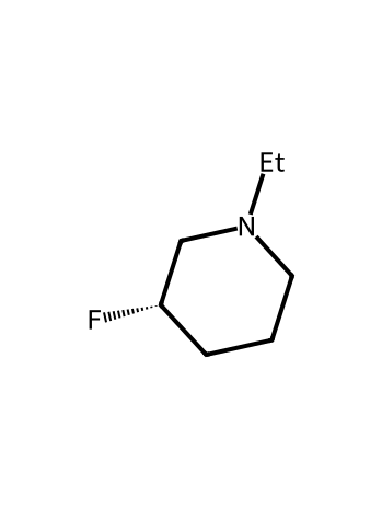 [CH2]CN1CCC[C@H](F)C1